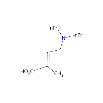 CCCN(CC=C(C)C(=O)O)CCC